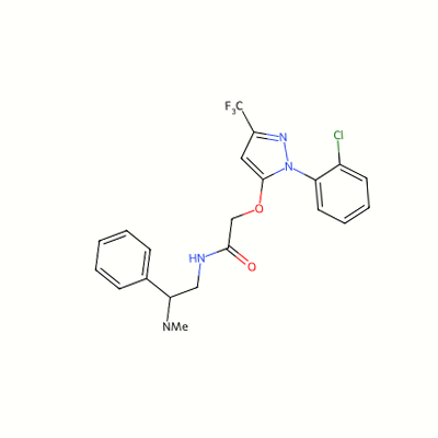 CNC(CNC(=O)COc1cc(C(F)(F)F)nn1-c1ccccc1Cl)c1ccccc1